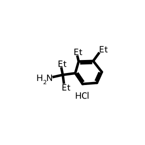 CCc1cccc(C(N)(CC)CC)c1CC.Cl